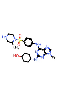 CCn1cnc2c(Nc3ccc(S(=O)(=O)N4CCNCC4C)cc3)nc(N[C@H]3CC[C@H](O)CC3)nc21